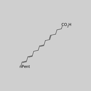 CCCCCC=CC=CCCC=CCC=CCCCC(=O)O